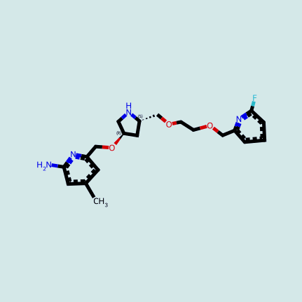 Cc1cc(N)nc(CO[C@H]2CN[C@H](COCCOCc3cccc(F)n3)C2)c1